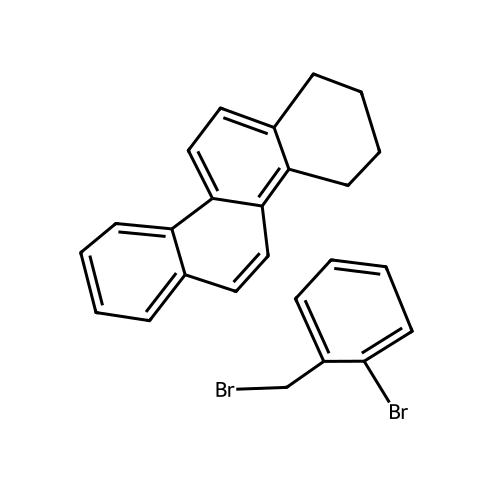 BrCc1ccccc1Br.c1ccc2c(c1)ccc1c3c(ccc12)CCCC3